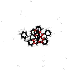 O=P1(c2ccccc2)c2c(-c3ccccc3N3c4ccccc4Oc4ccccc43)cccc2-c2cccc(-c3ccccc3N3c4ccccc4Oc4ccccc43)c21